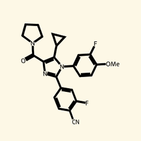 COc1ccc(-n2c(-c3ccc(C#N)c(F)c3)nc(C(=O)N3CCCC3)c2C2CC2)cc1F